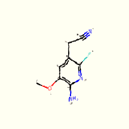 COc1cc(CC#N)c(F)nc1N